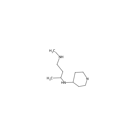 CNCCC(C)NC1CC[N]CC1